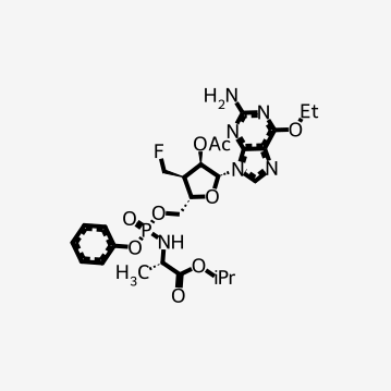 CCOc1nc(N)nc2c1ncn2[C@@H]1O[C@H](COP(=O)(N[C@@H](C)C(=O)OC(C)C)Oc2ccccc2)[C@@H](CF)[C@H]1OC(C)=O